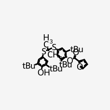 CC(C)(Sc1cc(C(C)(C)C)c(O)c(C(C)(C)C)c1)Sc1cc(C(C)(C)C)c(OC(=O)c2ccco2)c(C(C)(C)C)c1